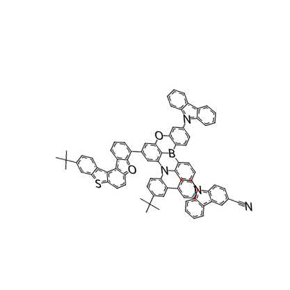 CC(C)(C)c1ccc(N2c3cc(-n4c5ccccc5c5cc(C#N)ccc54)ccc3B3c4ccc(-n5c6ccccc6c6ccccc65)cc4Oc4cc(-c5cccc6c5oc5ccc7sc8cc(C(C)(C)C)ccc8c7c56)cc2c43)c(-c2ccccc2)c1